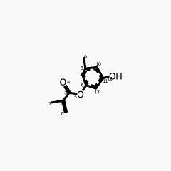 C=C(C)C(=O)Oc1cc(C)cc(O)c1